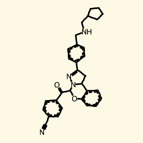 N#Cc1ccc(C(=O)C2Oc3ccccc3C3CC(c4ccc(CNCC5CCCC5)cc4)=NN23)cc1